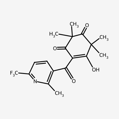 Cc1nc(C(F)(F)F)ccc1C(=O)C1=C(O)C(C)(C)C(=O)C(C)(C)C1=O